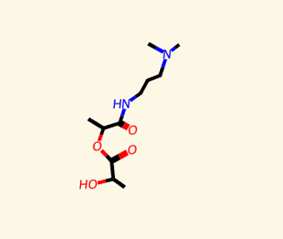 CC(O)C(=O)OC(C)C(=O)NCCCN(C)C